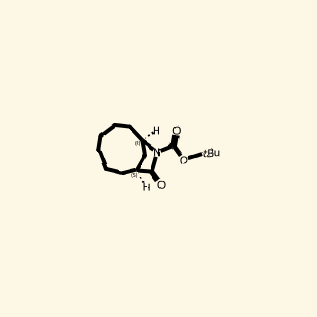 CC(C)(C)OC(=O)N1C(=O)[C@H]2CCCCCC[C@@H]1C2